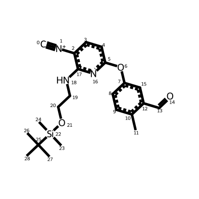 [C-]#[N+]c1ccc(Oc2ccc(C)c(C=O)c2)nc1NCCO[Si](C)(C)C(C)(C)C